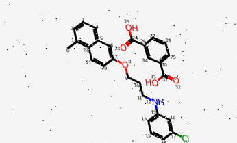 Cc1cccc2cc(OCCCNc3cccc(Cl)c3)ccc12.O=C(O)c1cccc(C(=O)O)c1